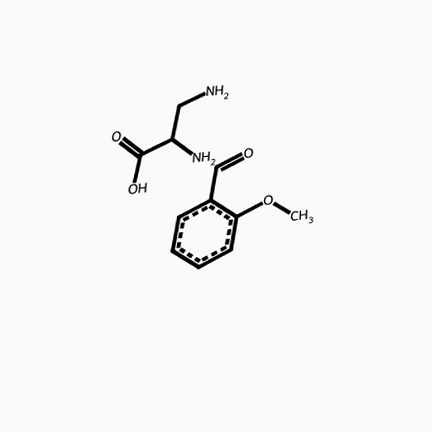 COc1ccccc1C=O.NCC(N)C(=O)O